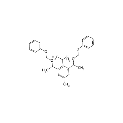 Cc1cc(C(C)OCOc2ccccc2)c(C(C)C)c(C(C)OCOc2ccccc2)c1